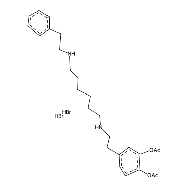 Br.Br.CC(=O)Oc1ccc(CCNCCCCCCNCCc2ccccc2)cc1OC(C)=O